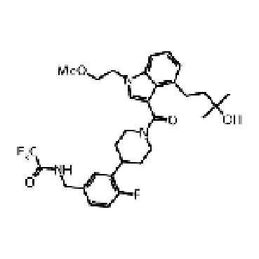 COCCn1cc(C(=O)N2CCC(c3cc(CNC(=O)C(F)(F)F)ccc3F)CC2)c2c(CCC(C)(C)O)cccc21